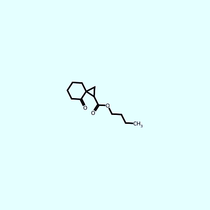 CCCCOC(=O)C1CC12CCCCC2=O